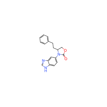 O=C1OCC(CCc2ccccc2)N1c1ccc2[nH]cnc2c1